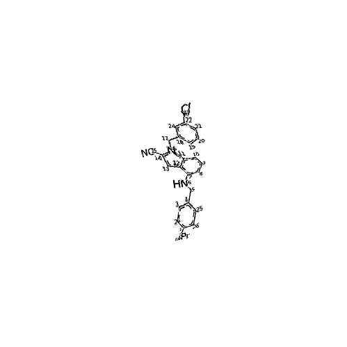 CC(C)c1ccc(CNc2cccc3c2cc(C#N)n3Cc2cccc(Cl)c2)cc1